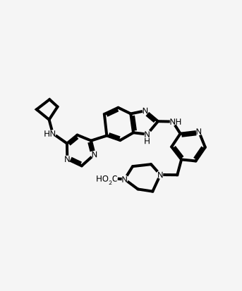 O=C(O)N1CCN(Cc2ccnc(Nc3nc4ccc(-c5cc(NC6CCC6)ncn5)cc4[nH]3)c2)CC1